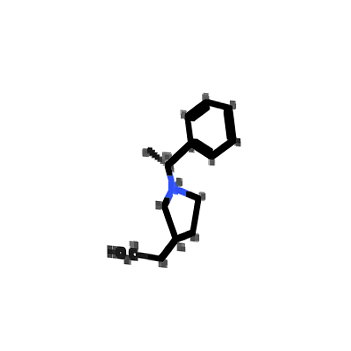 C[C@H](c1ccccc1)N1CCC(CC(=O)O)C1